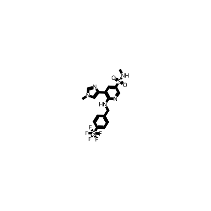 CNS(=O)(=O)c1cnc(NCc2ccc(S(F)(F)(F)(F)F)cc2)c(-c2cn(C)cn2)c1